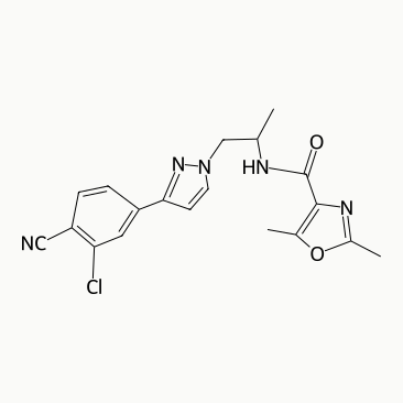 Cc1nc(C(=O)NC(C)Cn2ccc(-c3ccc(C#N)c(Cl)c3)n2)c(C)o1